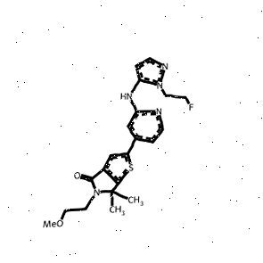 COCCN1C(=O)c2cc(-c3ccnc(Nc4ccnn4CCF)c3)sc2C1(C)C